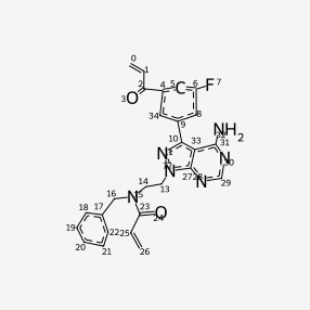 C=CC(=O)c1cc(F)cc(-c2nn(CCN(Cc3ccccc3)C(=O)C=C)c3ncnc(N)c23)c1